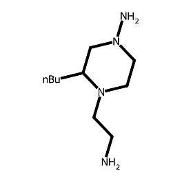 CCCCC1CN(N)CCN1CCN